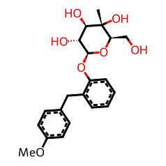 COc1ccc(Cc2ccccc2O[C@@H]2O[C@H](CO)[C@@](C)(O)[C@H](O)[C@H]2O)cc1